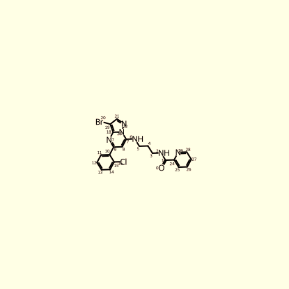 O=C(NCCCNc1cc(-c2ccccc2Cl)nc2c(Br)cnn12)c1ccccn1